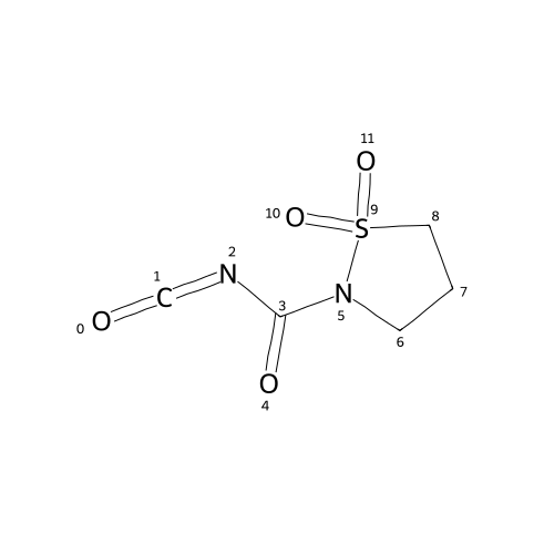 O=C=NC(=O)N1CCCS1(=O)=O